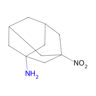 NC12CC3CC(C1)CC([N+](=O)[O-])(C3)C2